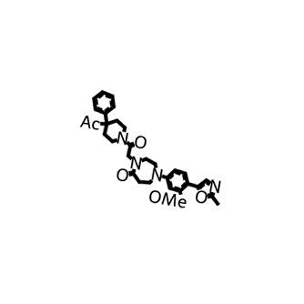 COc1cc(N2CCC(=O)N(CC(=O)N3CCC(C(C)=O)(c4ccccc4)CC3)CC2)ccc1-c1cnc(C)o1